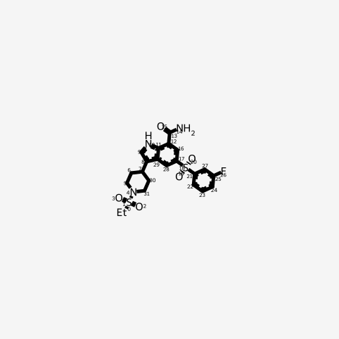 CCS(=O)(=O)N1CCC(c2c[nH]c3c(C(N)=O)cc(S(=O)(=O)c4cccc(F)c4)cc23)CC1